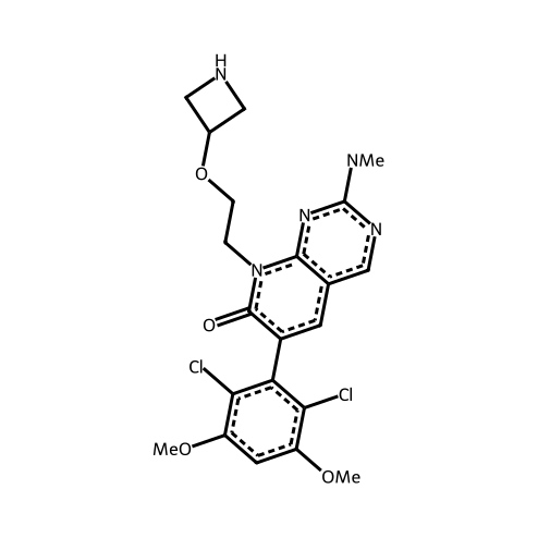 CNc1ncc2cc(-c3c(Cl)c(OC)cc(OC)c3Cl)c(=O)n(CCOC3CNC3)c2n1